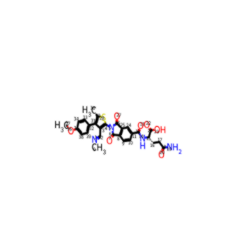 CN=Cc1c(N2C(=O)c3ccc(C(=O)N[C@@H](CCC(N)=O)C(=O)O)cc3C2=O)sc(C)c1-c1ccc(OC)cc1